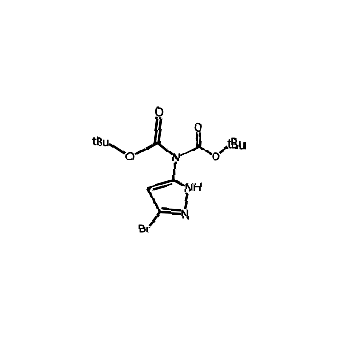 CC(C)(C)OC(=O)N(C(=O)OC(C)(C)C)c1cc(Br)n[nH]1